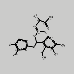 Cc1ncc(C(Oc2ccc(Cl)c(Cl)c2)O/[P+]([O-])=N/C(C)C(=O)O)c(CO)c1O